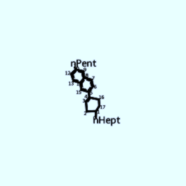 CCCCCCCC1CC=C(c2ccc3cc(CCCCC)ccc3c2)CC1